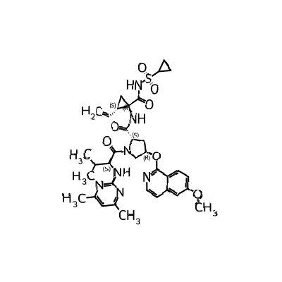 C=C[C@@H]1C[C@]1(NC(=O)[C@@H]1C[C@@H](Oc2nccc3cc(OC)ccc23)CN1C(=O)[C@@H](Nc1nc(C)cc(C)n1)C(C)C)C(=O)NS(=O)(=O)C1CC1